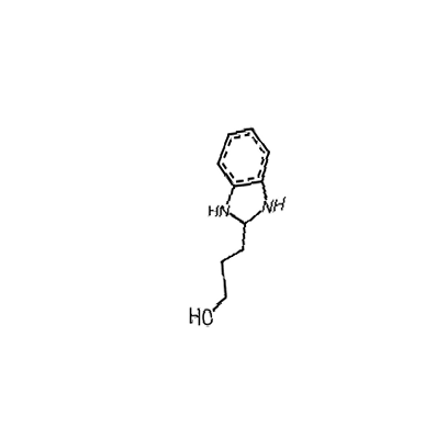 OCCCC1Nc2ccccc2N1